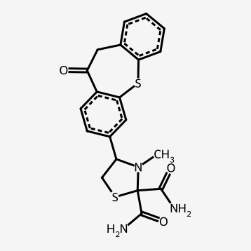 CN1C(c2ccc3c(c2)Sc2ccccc2CC3=O)CSC1(C(N)=O)C(N)=O